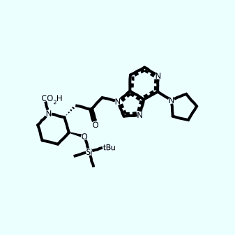 CC(C)(C)[Si](C)(C)O[C@H]1CCCN(C(=O)O)[C@@H]1CC(=O)Cn1cnc2c(N3CCCC3)nccc21